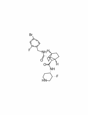 O=C(N[C@H]1CCNC[C@H]1F)[C@H]1[C@H](C(=O)NCc2ccc(Br)cc2F)[C@@H]2CC[C@H]1C21CC1